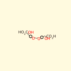 O=C(O)C(O)Cc1ccc(OCCCOc2ccc(CC(O)C(=O)O)cc2)cc1